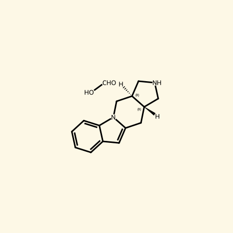 O=CO.c1ccc2c(c1)cc1n2C[C@H]2CNC[C@@H]2C1